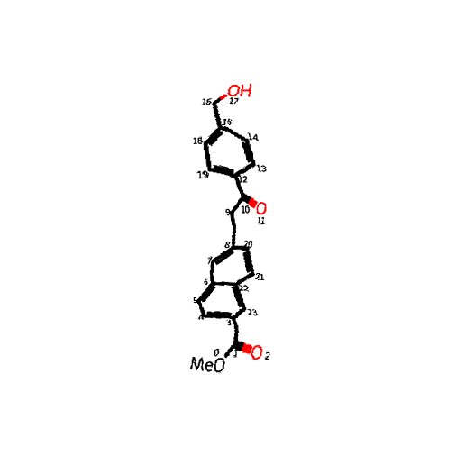 COC(=O)c1ccc2cc(CC(=O)c3ccc(CO)cc3)ccc2c1